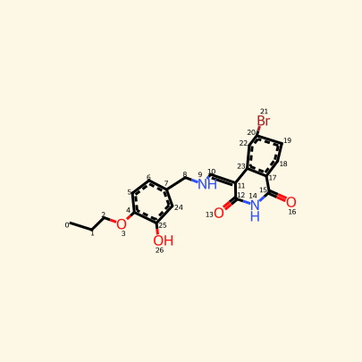 CCCOc1ccc(CNC=C2C(=O)NC(=O)c3ccc(Br)cc32)cc1O